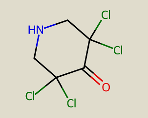 O=C1C(Cl)(Cl)CNCC1(Cl)Cl